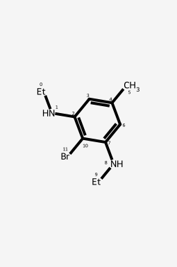 CCNc1cc(C)cc(NCC)c1Br